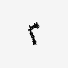 O=C(CCN1CCN(c2ccc(OCc3ccc(C(F)(F)F)cc3)cc2)CC1)N1CCC(Nc2ccc([N+](=O)[O-])c(C(F)(F)F)c2)CC1